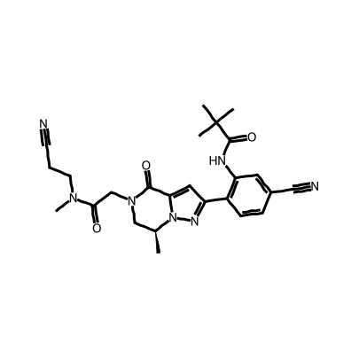 C[C@H]1CN(CC(=O)N(C)CCC#N)C(=O)c2cc(-c3ccc(C#N)cc3NC(=O)C(C)(C)C)nn21